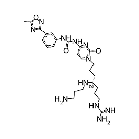 Cc1nc(-c2cccc(NC(=O)Nc3ccn(CCC[C@H](CCCNC(=N)N)NCCCN)c(=O)n3)c2)no1